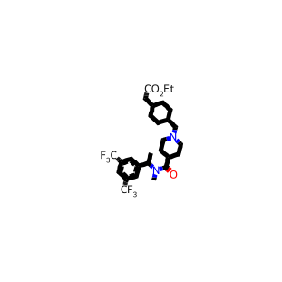 CCOC(=O)CC1CCC(CN2CCC(C(=O)N(C)C(C)c3cc(C(F)(F)F)cc(C(F)(F)F)c3)CC2)CC1